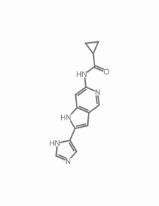 O=C(Nc1cc2[nH]c(-c3cnc[nH]3)cc2cn1)C1CC1